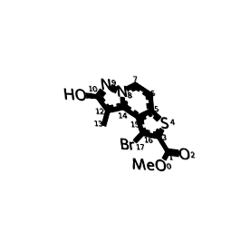 COC(=O)c1sc2ccn3nc(O)c(C)c3c2c1Br